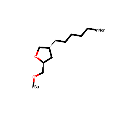 [CH2]CCCOC[C@@H]1C[C@@H](CCCCCCCCCCCCCC)CO1